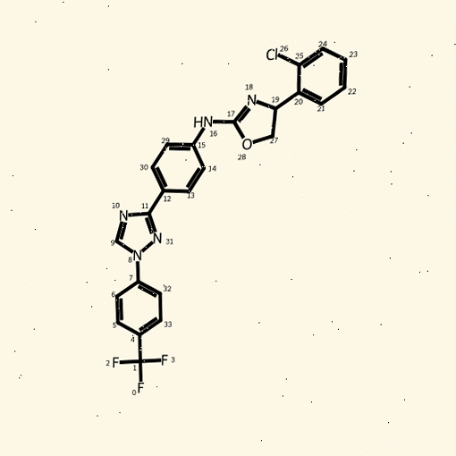 FC(F)(F)c1ccc(-n2cnc(-c3ccc(NC4=NC(c5ccccc5Cl)CO4)cc3)n2)cc1